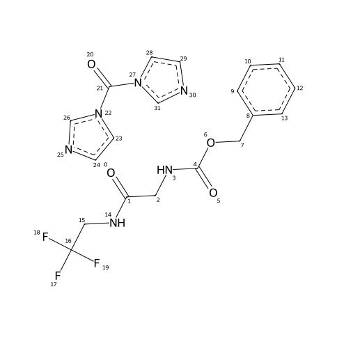 O=C(CNC(=O)OCc1ccccc1)NCC(F)(F)F.O=C(n1ccnc1)n1ccnc1